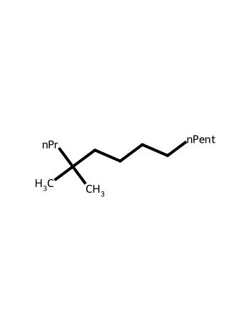 [CH2]CCC(C)(C)CCCCCCCCC